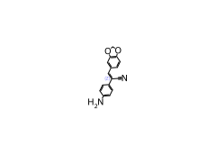 N#C/C(=C\c1ccc2c(c1)OCO2)c1ccc(N)cc1